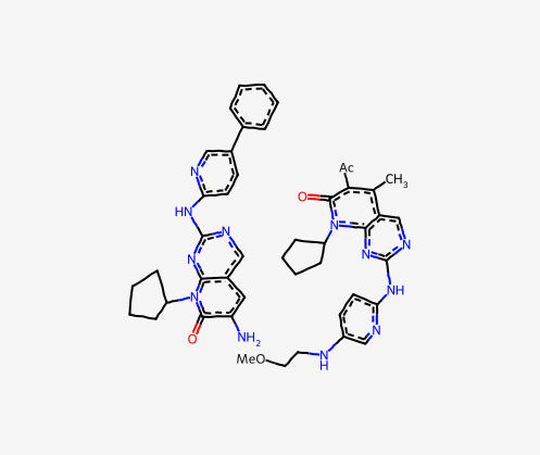 COCCNc1ccc(Nc2ncc3c(C)c(C(C)=O)c(=O)n(C4CCCC4)c3n2)nc1.Nc1cc2cnc(Nc3ccc(-c4ccccc4)cn3)nc2n(C2CCCC2)c1=O